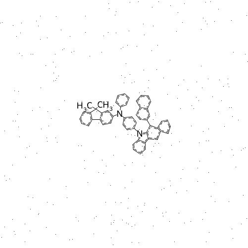 CC1(C)c2ccccc2-c2ccc(N(c3ccccc3)c3ccc(-n4c5ccccc5c5cc6ccccc6c(-c6ccc7ccccc7c6)c54)cc3)cc21